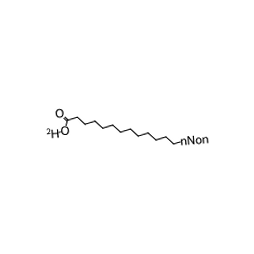 [2H]OC(=O)CCCCCCCCCCCCCCCCCCCCC